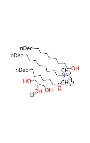 CCCCCCCCCCCCCCCCCCO.CCCCCCCCCCCCCCCCCC[N+](C)(C)C.CCCCCCCCCCCCCCCCO.OCC(O)CO.[Cl-]